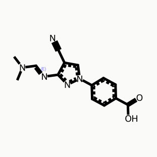 CN(C)/C=N/c1nn(-c2ccc(C(=O)O)cc2)cc1C#N